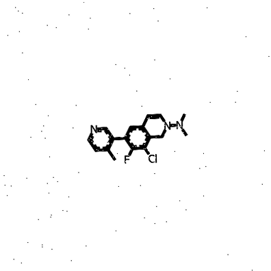 Cc1ccncc1-c1cc2c(c(Cl)c1F)CN(N(C)C)C=C2